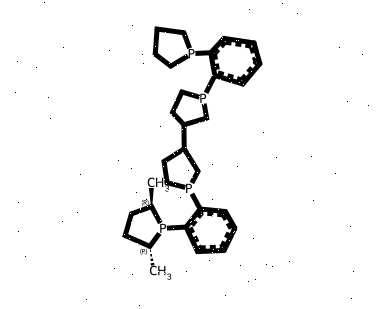 C[C@@H]1CC[C@@H](C)P1c1ccccc1P1CCC(C2CCP(c3ccccc3P3CCCC3)C2)C1